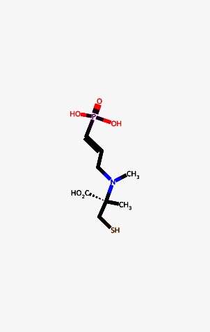 CN(CC=CP(=O)(O)O)[C@@](C)(CS)C(=O)O